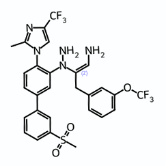 Cc1nc(C(F)(F)F)cn1-c1ccc(-c2cccc(S(C)(=O)=O)c2)cc1N(N)/C(=C\N)Cc1cccc(OC(F)(F)F)c1